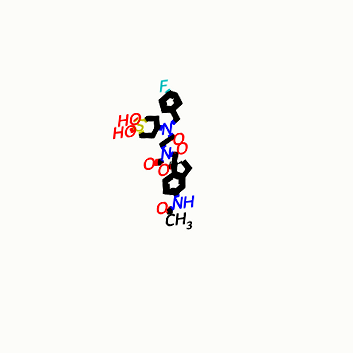 CC(=O)Nc1ccc2c(c1)CC[C@@]21OC(=O)N(CC(=O)N(Cc2ccc(F)cc2)C2CCS(O)(O)CC2)C1=O